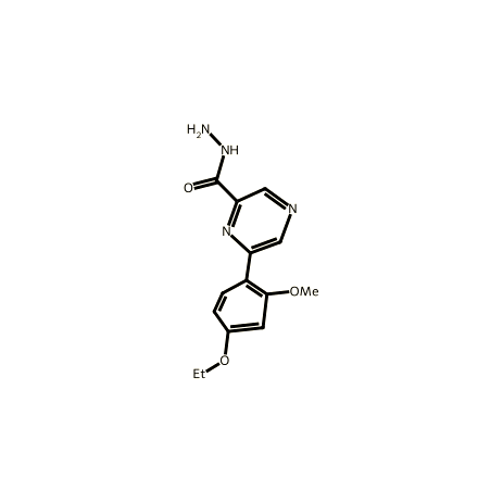 CCOc1ccc(-c2cncc(C(=O)NN)n2)c(OC)c1